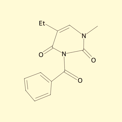 CCc1cn(C)c(=O)n(C(=O)c2ccccc2)c1=O